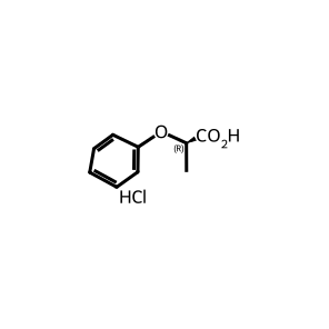 C[C@@H](Oc1ccccc1)C(=O)O.Cl